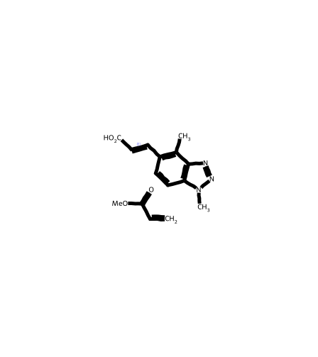 C=CC(=O)OC.Cc1c(/C=C/C(=O)O)ccc2c1nnn2C